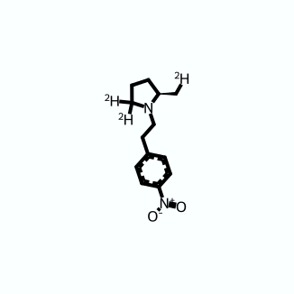 [2H]C[C@@H]1CCC([2H])([2H])N1CCc1ccc([N+](=O)[O-])cc1